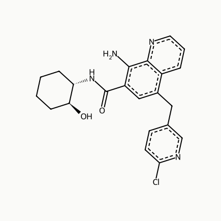 Nc1c(C(=O)N[C@H]2CCCC[C@@H]2O)cc(Cc2ccc(Cl)nc2)c2cccnc12